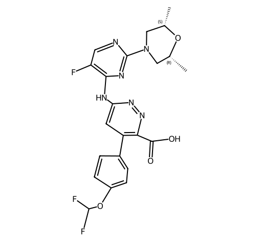 C[C@@H]1CN(c2ncc(F)c(Nc3cc(-c4ccc(OC(F)F)cc4)c(C(=O)O)nn3)n2)C[C@H](C)O1